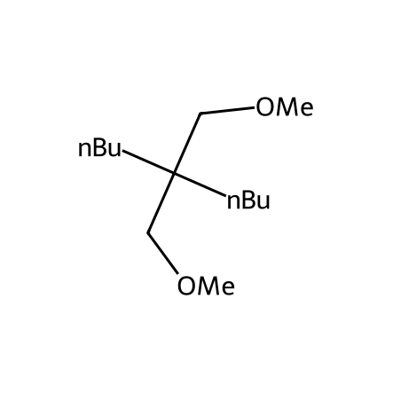 CCCCC(CCCC)(COC)COC